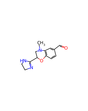 CN1CC(C2=NCCN2)Oc2ccc(C=O)cc21